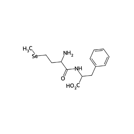 C[Se]CCC(N)C(=O)NC(Cc1ccccc1)C(=O)O